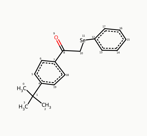 CC(C)(C)c1ccc(C(=O)C[Se]c2ccccc2)cc1